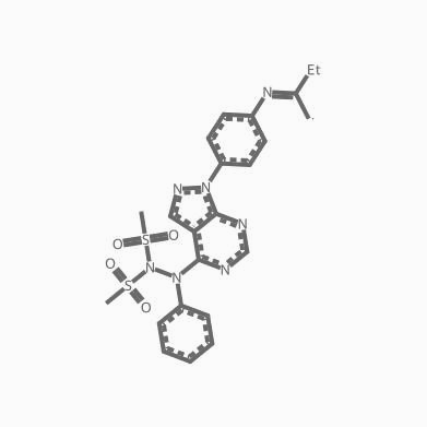 [CH2]C(CC)=Nc1ccc(-n2ncc3c(N(c4ccccc4)N(S(C)(=O)=O)S(C)(=O)=O)ncnc32)cc1